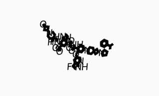 CC(C)c1ccccc1[C@@H]1CCCN1C1CC2(CCN(c3ccc(C(=O)NS(=O)(=O)c4cc([N+](=O)[O-])c(NCC5(F)CCN(C6CC(=O)C6)CC5)c5[nH]cnc45)c(Oc4cnc5[nH]cc(F)c5c4)c3)CC2)C1